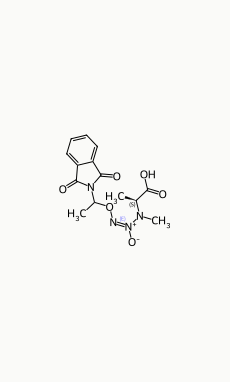 CC(O/N=[N+](/[O-])N(C)[C@@H](C)C(=O)O)N1C(=O)c2ccccc2C1=O